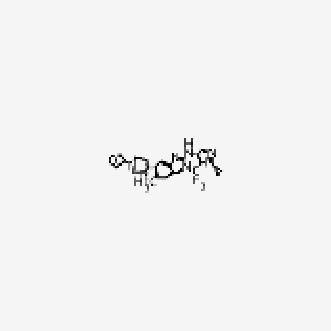 Cc1cc2cnc(Nc3cnn(C4CC4)c3C)nc2cc1[C@H]1CCN(C2COC2)C[C@@H]1F